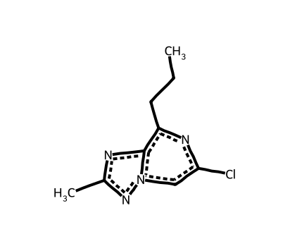 CCCc1nc(Cl)cn2nc(C)nc12